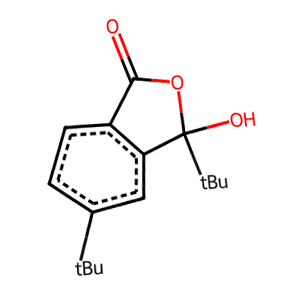 CC(C)(C)c1ccc2c(c1)C(O)(C(C)(C)C)OC2=O